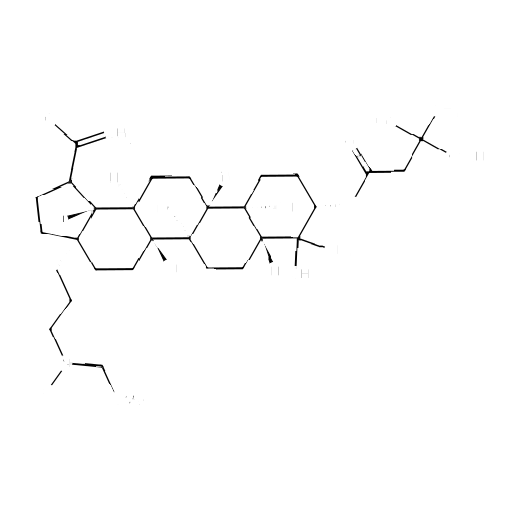 C=C(C)C1CC[C@]2(CCCN(C)COC)CC[C@]3(C)[C@H](CC[C@@H]4[C@@]5(C)CC[C@H](OC(=O)CC(C)(C)C(=O)O)C(C)(C)[C@@H]5CC[C@]43C)[C@@H]12